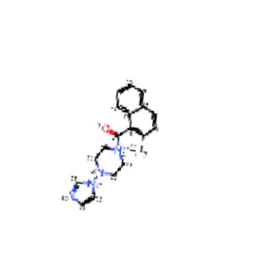 C[N+]1(C(=O)c2cccc3ccccc23)CCN(n2ccnc2)CC1